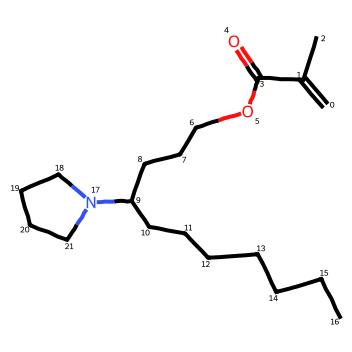 C=C(C)C(=O)OCCCC(CCCCCCC)N1CCCC1